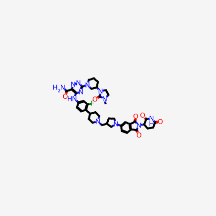 CN1CCN(C2CCCN(c3nnc(C(N)=O)c(Nc4ccc(C5CCN(CC6CCN(c7ccc8c(c7)C(=O)N(C7CCC(=O)NC7=O)C8=O)C6)CC5)c(F)c4)n3)C2)C1=O